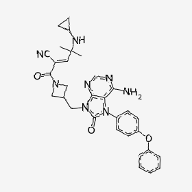 CC(C)(C=C(C#N)C(=O)N1CC(Cn2c(=O)n(-c3ccc(Oc4ccccc4)cc3)c3c(N)ncnc32)C1)NC1CC1